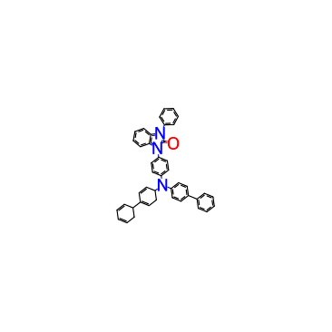 O=c1n(-c2ccccc2)c2ccccc2n1-c1ccc(N(c2ccc(-c3ccccc3)cc2)C2C=CC(C3C=CC=CC3)=CC2)cc1